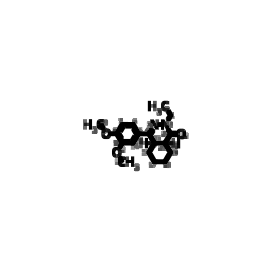 CCN1N=C(c2ccc(OC)c(OC)c2)[C@H]2CCCC[C@H]2C1=O